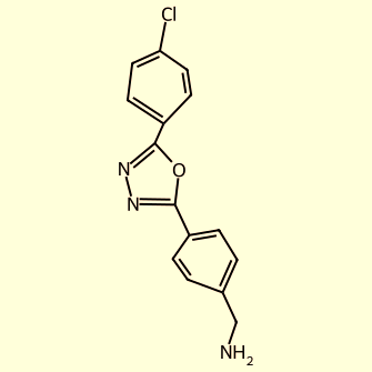 NCc1ccc(-c2nnc(-c3ccc(Cl)cc3)o2)cc1